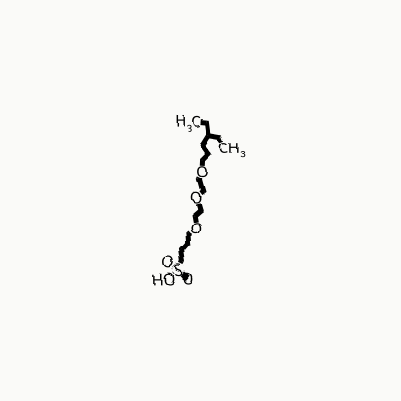 CCC(CC)CCCOCCOCCOCCCCS(=O)(=O)O